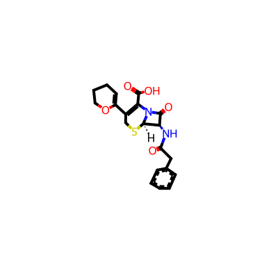 O=C(Cc1ccccc1)N[C@@H]1C(=O)N2C(C(=O)O)=C(C3=CCCCO3)CS[C@H]12